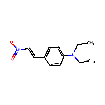 CCN(CC)c1ccc(C=C[N+](=O)[O-])cc1